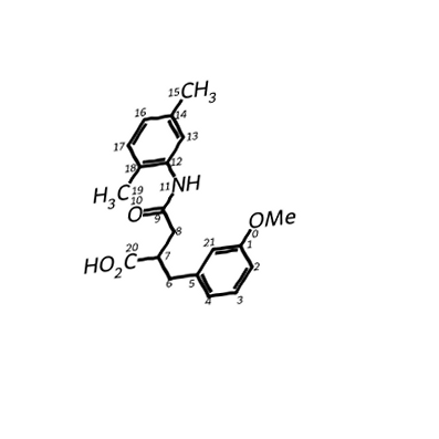 COc1cccc(CC(CC(=O)Nc2cc(C)ccc2C)C(=O)O)c1